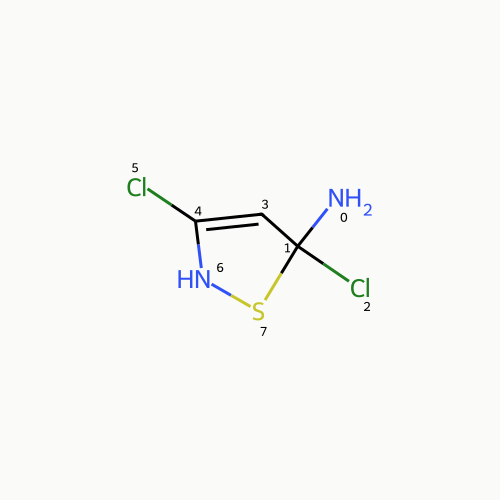 NC1(Cl)C=C(Cl)NS1